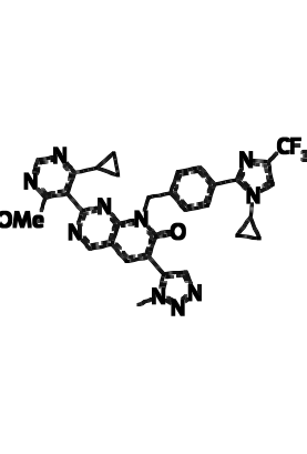 COc1ncnc(C2CC2)c1-c1ncc2cc(-c3cnnn3C)c(=O)n(Cc3ccc(-c4nc(C(F)(F)F)cn4C4CC4)cc3)c2n1